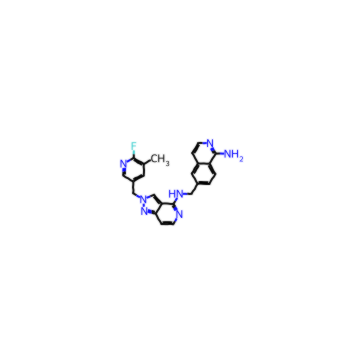 Cc1cc(Cn2cc3c(NCc4ccc5c(N)nccc5c4)nccc3n2)cnc1F